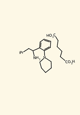 CC(C)CC(N)c1ccccc1N1CCCCC1.O=C(O)CCCCC(=O)O